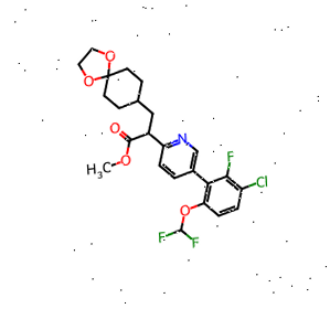 COC(=O)C(CC1CCC2(CC1)OCCO2)c1ccc(-c2c(OC(F)F)ccc(Cl)c2F)cn1